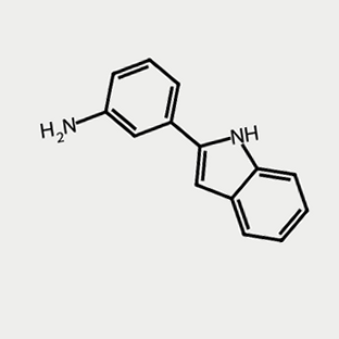 Nc1cccc(-c2cc3ccccc3[nH]2)c1